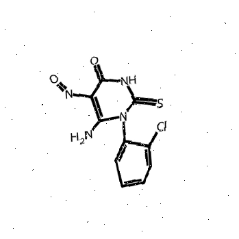 Nc1c(N=O)c(=O)[nH]c(=S)n1-c1ccccc1Cl